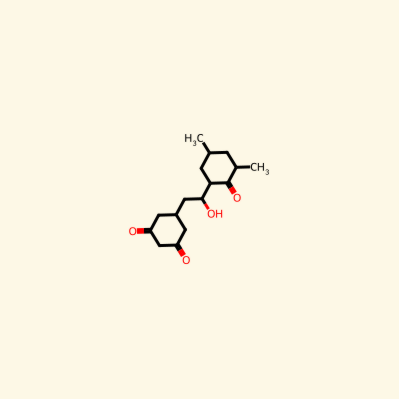 CC1CC(C)C(=O)C(C(O)CC2CC(=O)CC(=O)C2)C1